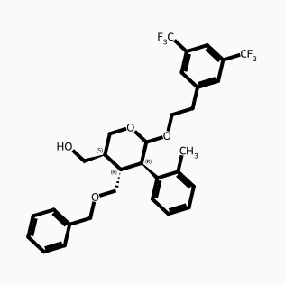 Cc1ccccc1[C@@H]1C(OCCc2cc(C(F)(F)F)cc(C(F)(F)F)c2)OC[C@H](CO)[C@H]1COCc1ccccc1